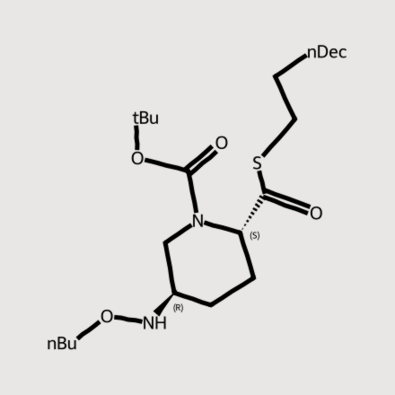 CCCCCCCCCCCCSC(=O)[C@@H]1CC[C@@H](NOCCCC)CN1C(=O)OC(C)(C)C